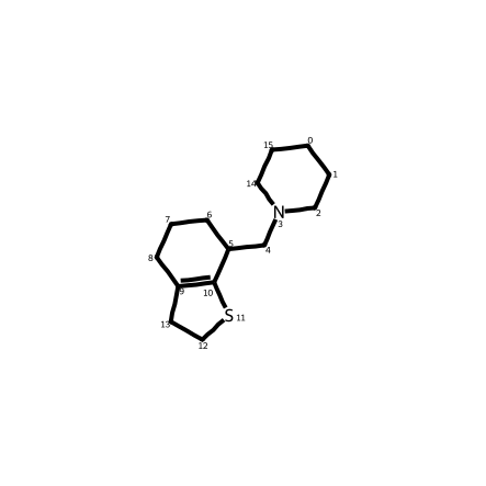 C1CCN(CC2CCCC3=C2SCC3)CC1